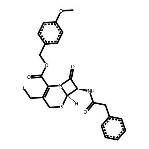 COc1ccc(COC(=O)C2=C(CI)CS[C@@H]3[C@H](NC(=O)Cc4ccccc4)C(=O)N23)cc1